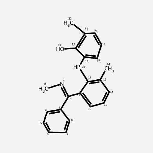 C/N=C(\c1ccccc1)c1cccc(C)c1Pc1cccc(C)c1O